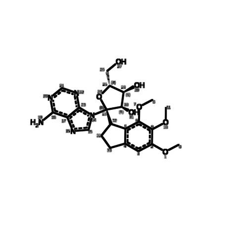 COc1cc2c(c(OC)c1OC)C([C@@]1(n3cnc4c(N)ncnc43)O[C@H](CO)[C@@H](O)[C@H]1O)CC2